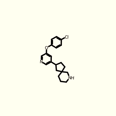 Clc1ccc(Oc2cncc(C3CCC4(CCCNC4)C3)c2)cc1